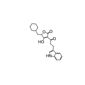 O=C(CCc1c[nH]c2ccccc12)C1=C(O)C(CC2CCCCC2)OC1=O